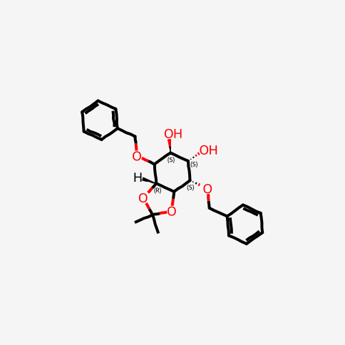 CC1(C)OC2[C@H](O1)C(OCc1ccccc1)[C@@H](O)[C@H](O)[C@@H]2OCc1ccccc1